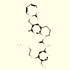 COC[C@@H](C)Oc1cc(NC(=O)N2CCCc3cc(CN4C=CC=COC4=O)c(C=O)nc32)ncc1C#N